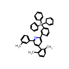 Cc1cccc(-c2cc(-c3c(C)cccc3C)cc(-c3cccc([Si](c4ccccc4)(c4ccccc4)C4C=CC=CC4)c3)n2)c1